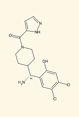 N[C@@H](c1cc(Cl)c(Cl)cc1O)C1CCN(C(=O)c2ccn[nH]2)CC1